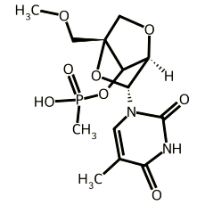 COC[C@@]12CO[C@H](C1OP(C)(=O)O)[C@H](n1cc(C)c(=O)[nH]c1=O)O2